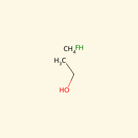 C.CCO.F